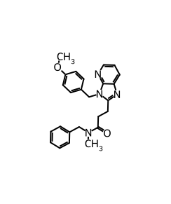 COc1ccc(Cn2c(CCC(=O)N(C)Cc3ccccc3)nc3cccnc32)cc1